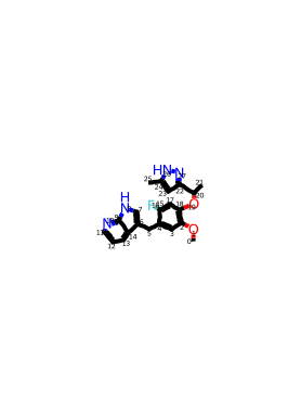 COc1cc(Cc2c[nH]c3ncccc23)c(F)cc1OC(C)c1cc(C)[nH]n1